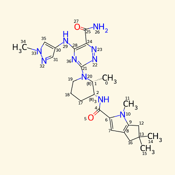 C[C@@H]1[C@H](NC(=O)c2cc3c(n2C)CC(C)(C)C3)CCCN1c1nnc(C(N)=O)c(Nc2cnn(C)c2)n1